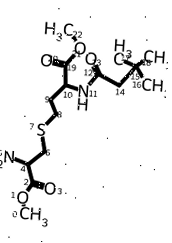 COC(=O)C(N)CSCCC(NC(=O)CC(C)(C)C)C(=O)OC